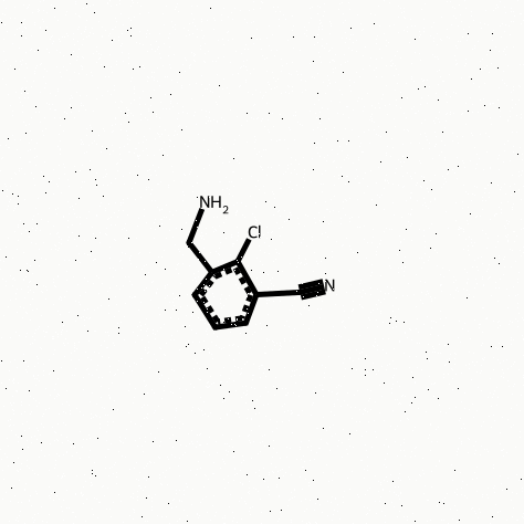 N#Cc1cccc(CN)c1Cl